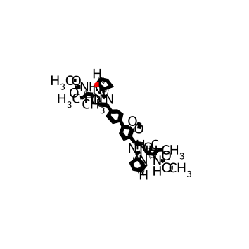 COC(=O)N[C@H](C(=O)N1C[C@@H]2CC[C@@]1(c1nc(-c3ccc(-c4ccc(-c5c[nH]c([C@@]67CC[C@@H](CN6C(=O)[C@@H](NC(=O)OC)C(C)C)C7)n5)c5c4OCO5)cc3)c[nH]1)C2)C(C)C